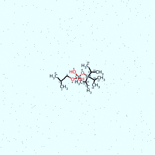 CC(C)C[O][Ti]([OH])([OH])[O][Si](C(C)C)(C(C)C)C(C)C